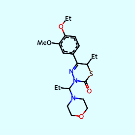 CCOc1ccc(C2=NN(C(CC)N3CCOCC3)C(=O)SC2CC)cc1OC